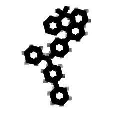 CC1(C)c2ccccc2-c2c(-c3ccc(N(c4ccccc4)c4ccc(-c5ccccc5)cc4)cc3)ccc3cccc1c23